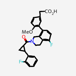 COc1ccc(CC(=O)O)cc1-c1ccc(F)c2c1CN(C(=O)C1CC1c1ccccc1F)CC2